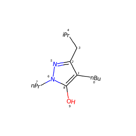 CCCCc1c(CC(C)C)nn(CCC)c1O